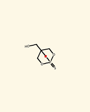 OCC12COP(=S)(OC1)OC2